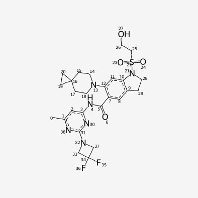 Cc1cc(NC(=O)c2cc3c(cc2N2CCC4(CC2)CC4)N(S(=O)(=O)CCO)CC3)nc(N2CC(F)(F)C2)n1